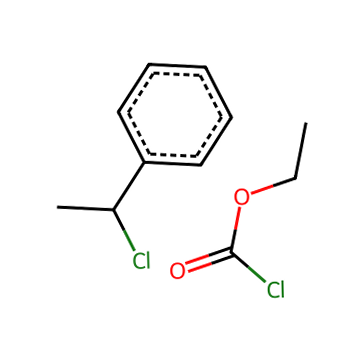 CC(Cl)c1ccccc1.CCOC(=O)Cl